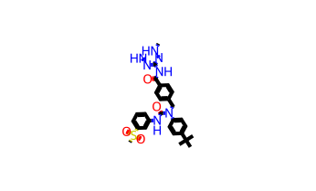 CN/N=C(\N=N)NC(=O)c1ccc(CN(C(=O)Nc2cccc(S(C)(=O)=O)c2)c2ccc(C(C)(C)C)cc2)cc1